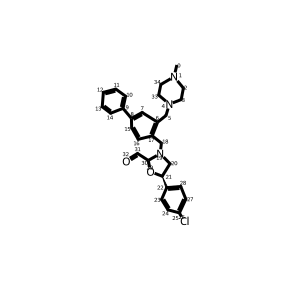 CN1CCN(Cc2cc(-c3ccccc3)ccc2CN2C[C@@H](c3ccc(Cl)cc3)OC2C=O)CC1